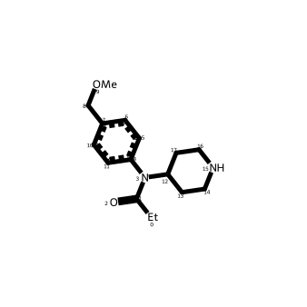 CCC(=O)N(c1ccc(COC)cc1)C1CCNCC1